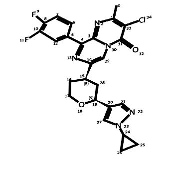 Cc1nc2c(-c3ccc(F)c(F)c3)nc([C@@H]3CCO[C@H](c4cnn(C5CC5)c4)C3)cn2c(=O)c1Cl